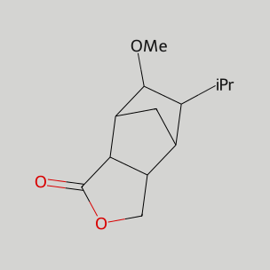 COC1C2CC(C3COC(=O)C32)C1C(C)C